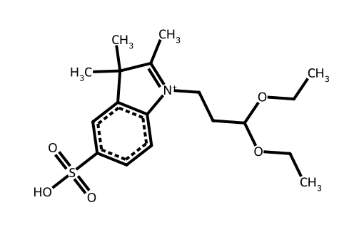 CCOC(CC[N+]1=C(C)C(C)(C)c2cc(S(=O)(=O)O)ccc21)OCC